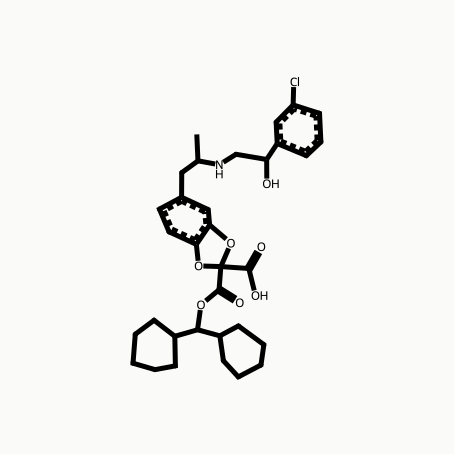 CC(Cc1ccc2c(c1)OC(C(=O)O)(C(=O)OC(C1CCCCC1)C1CCCCC1)O2)NCC(O)c1cccc(Cl)c1